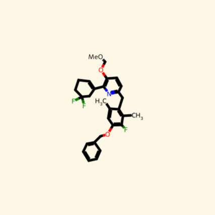 COCOc1ccc(Cc2c(C)cc(OCc3ccccc3)c(F)c2C)nc1C1=CCCC(F)(F)C1